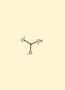 [CH]C(Cl)Cl